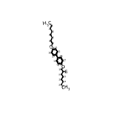 CCCCCCCCOc1ccc(-c2ccc(OC[C@@H](F)CCCCCC)cc2)cc1